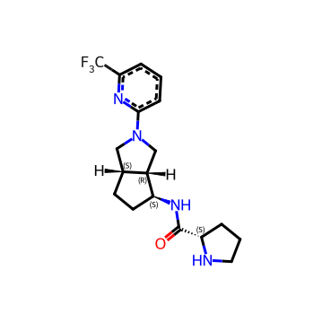 O=C(N[C@H]1CC[C@@H]2CN(c3cccc(C(F)(F)F)n3)C[C@@H]21)[C@@H]1CCCN1